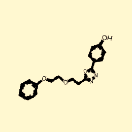 Oc1ccc(-c2nnc(CCOCCOc3ccccc3)o2)cc1